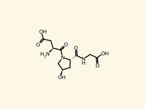 N[C@@H](CC(=O)O)C(=O)N1C[C@H](O)C[C@H]1C(=O)NCC(=O)O